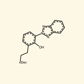 CCCCCCCCCCCCc1cccc(-n2nc3ccccc3n2)c1O